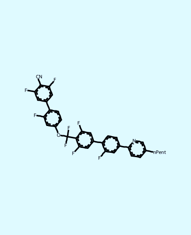 CCCCCc1ccc(-c2ccc(-c3cc(F)c(C(F)(F)Oc4ccc(-c5cc(F)c(C#N)c(F)c5)c(F)c4)c(F)c3)c(F)c2)nc1